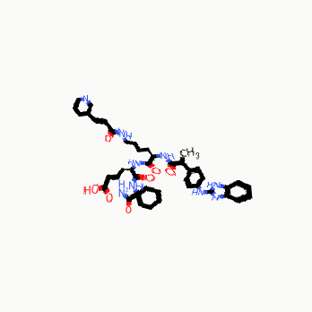 CC(C(=O)N[C@H](CCCCNC(=O)/C=C/C1C=NC=CC1)C(=O)N[C@H](CCCC(=O)O)C(=O)NC1(C(N)=O)CCCCC1)C1C=CC(NC2=NC3C=CC=CC3N2)=CC1